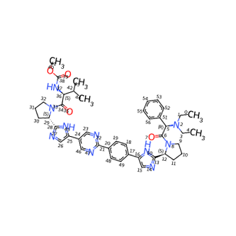 CCN(CC)[C@@H](C(=O)N1CCC[C@H]1c1ncc(-c2ccc(-c3ncc(-c4cnc([C@@H]5CCCN5C(=O)[C@@H](NC(=O)OC)C(C)C)[nH]4)cn3)cc2)[nH]1)c1ccccc1